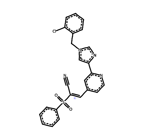 N#C/C(=C\c1ccnc(-c2cn(Cc3ccccc3Cl)cn2)c1)S(=O)(=O)c1ccccc1